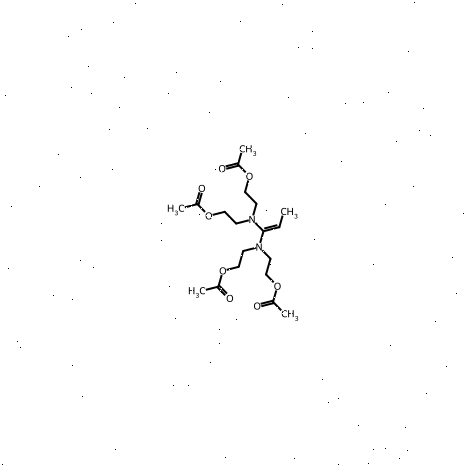 CC=C(N(CCOC(C)=O)CCOC(C)=O)N(CCOC(C)=O)CCOC(C)=O